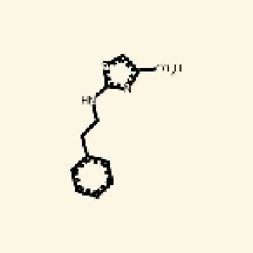 O=C(O)c1csc(NCCc2ccccc2)n1